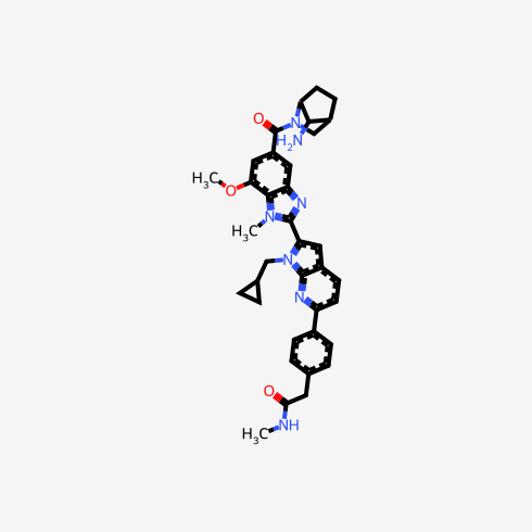 CNC(=O)Cc1ccc(-c2ccc3cc(-c4nc5cc(C(=O)N6CC7CCC6C7N)cc(OC)c5n4C)n(CC4CC4)c3n2)cc1